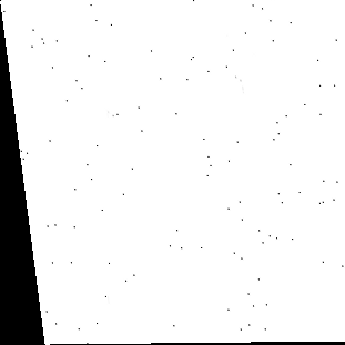 Cn1cc(-c2ccc(OC(F)(F)F)cc2)c2ccc(C(=O)NS(C)(=O)=O)cc21